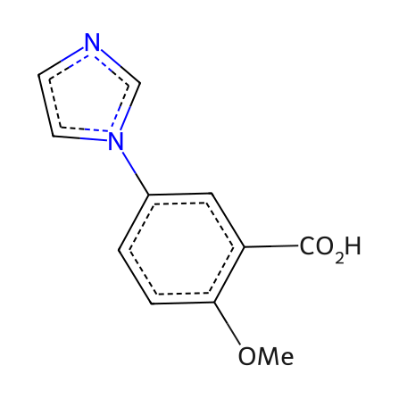 COc1ccc(-n2ccnc2)cc1C(=O)O